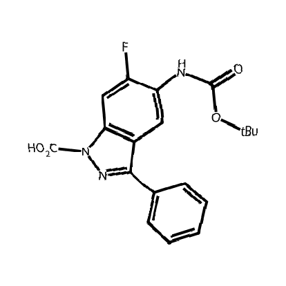 CC(C)(C)OC(=O)Nc1cc2c(-c3ccccc3)nn(C(=O)O)c2cc1F